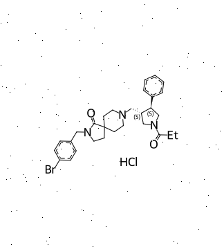 CCC(=O)N1C[C@H](CN2CCC3(CC2)CCN(Cc2ccc(Br)cc2)C3=O)[C@@H](c2ccccc2)C1.Cl